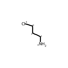 NCC[CH]Cl